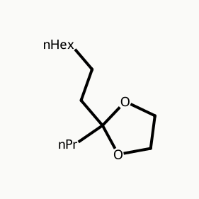 CCCCCCCCC1(CCC)OCCO1